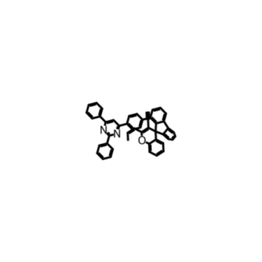 C#CC1=C(/C=C\C)Oc2ccccc2C12c1ccccc1-c1cccc(-c3ccc(-c4cc(-c5ccccc5)nc(-c5ccccc5)n4)cc3)c12